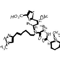 CC[C@H](C)[C@H](NC(=O)[C@H]1CCCCN1C)C(=O)N(CCCCc1cn(C)nn1)[C@H](C[C@@H](OC(C)=O)c1nc(C(=O)O)cs1)C(C)C